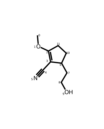 COC1=C(C#N)C(CCO)CC1